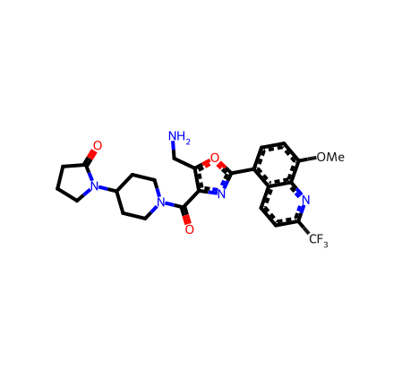 COc1ccc(-c2nc(C(=O)N3CCC(N4CCCC4=O)CC3)c(CN)o2)c2ccc(C(F)(F)F)nc12